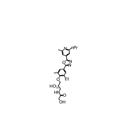 CCCc1cc(-c2nnc(-c3cc(C)c(OC[C@@H](O)CNC(=O)CO)c(CC)c3)o2)cc(C)n1